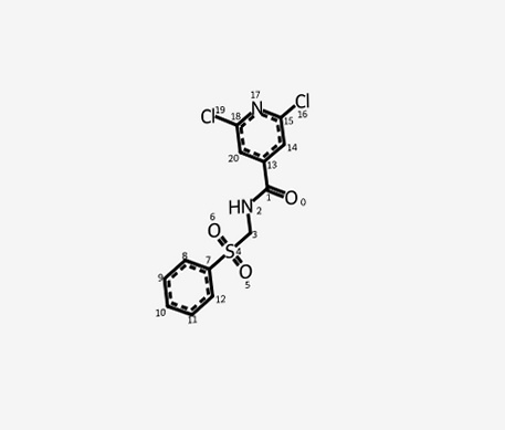 O=C(NCS(=O)(=O)c1ccccc1)c1cc(Cl)nc(Cl)c1